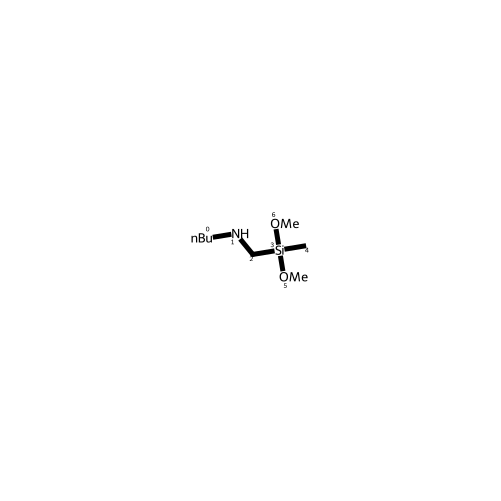 CCCCNC[Si](C)(OC)OC